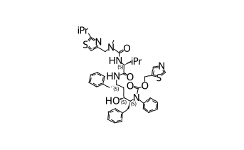 CC(C)c1nc(CN(C)C(=O)N[C@H](C(=O)N[C@@H](Cc2ccccc2)C[C@H](O)[C@H](Cc2ccccc2)N(C(=O)OCc2cncs2)c2ccccc2)C(C)C)cs1